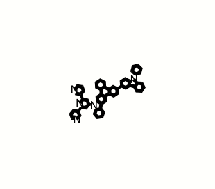 c1ccc(-n2c3ccccc3c3cc(-c4ccc5c(c4)c4ccccc4c4cc6c(cc54)c4ccccc4n6-c4cc(-c5cccnc5)nc(-c5cccnc5)c4)ccc32)cc1